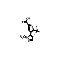 Cn1nccc1-c1cc(C(=O)O)sc1C(F)(F)F